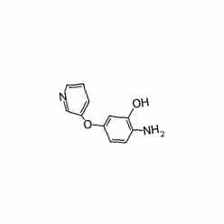 Nc1ccc(Oc2cccnc2)cc1O